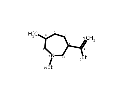 C=C(CC)C1CCC(C)CN(CC)C1